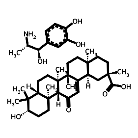 CC1(C)[C@@H](O)CC[C@]2(C)[C@H]3C(=O)C=C4[C@@H]5C[C@@](C)(C(=O)O)CC[C@]5(C)CC[C@@]4(C)[C@]3(C)CC[C@@H]12.C[C@H](N)[C@H](O)c1ccc(O)c(O)c1